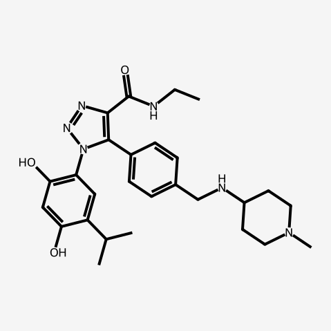 CCNC(=O)c1nnn(-c2cc(C(C)C)c(O)cc2O)c1-c1ccc(CNC2CCN(C)CC2)cc1